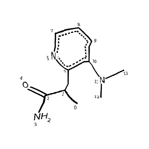 CC(C(N)=O)c1ncccc1N(C)C